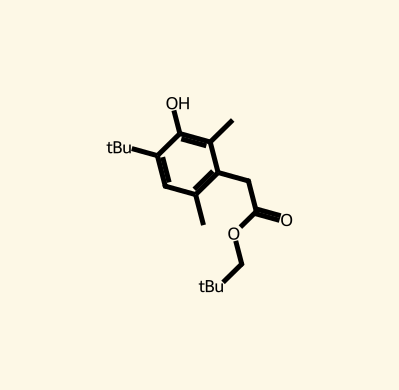 Cc1cc(C(C)(C)C)c(O)c(C)c1CC(=O)OCC(C)(C)C